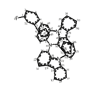 Fc1cccc(-c2ccc(N(c3cccc4c5ccccc5n(-c5ccccc5)c34)c3cccc4c5ccccc5n(-c5ccccc5)c34)cc2)c1